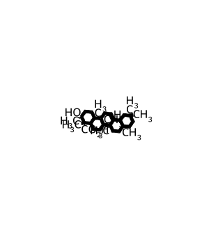 CC1(C)CC[C@]2(C)CC[C@]3(C)C(=CCC4[C@@]5(C)CC[C@](C)(O)[C@@](C)(C(=O)O)C5CC[C@]43C)[C@H]2C1